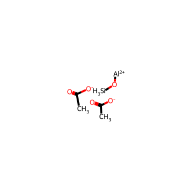 CC(=O)[O-].CC(=O)[O-].[Al+2][O][SiH3]